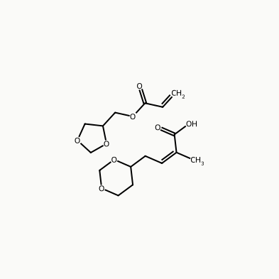 C=CC(=O)OCC1COCO1.CC(=CCC1CCOCO1)C(=O)O